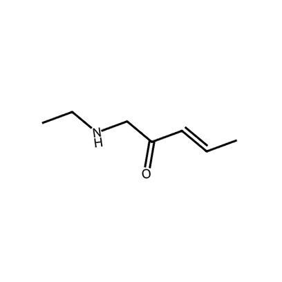 C/C=C/C(=O)CNCC